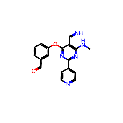 CNc1nc(-c2ccncc2)nc(Oc2cccc(C=O)c2)c1C=N